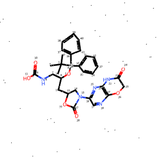 CC(C)(C)[Si](OC(CNC(=O)O)CC1CN(c2cnc3c(n2)NC(=O)CO3)C(=O)O1)(c1ccccc1)c1ccccc1